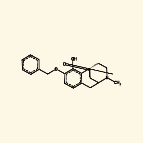 CN1CC[C@@]23CC(=O)CCC2C1Cc1ccc(OCc2ccccc2)c(O)c13